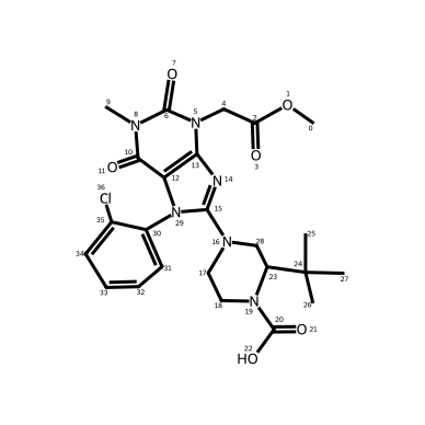 COC(=O)Cn1c(=O)n(C)c(=O)c2c1nc(N1CCN(C(=O)O)C(C(C)(C)C)C1)n2-c1ccccc1Cl